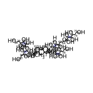 C=C1CC23CCC4C(C)(CCC[C@@]4(C)C(=O)OC(O)/C(OC(O)/C(O)=C(/O)C(O)CCO)=C(/O)C(O)CCO)[C@@H]2CC[C@]1(OC(O)/C(OC(O)/C(O)=C(/O)C(O)CCO)=C(\O)C(O)CCOC(O)/C(O)=C(\O)C(O)CCO)C3